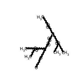 CCCCCCCCCOC(=O)CCCCCCCN(CCCCCCCC(=O)OC(CCCCCCCC)CCCCCCCC)CCCCC(=O)OCCOC(=O)CCCCN(CCCCCCCCOCCCCCCCCC=O)CCCCCCCC(=O)OC(CCCCCCCC)CCCCCCCC